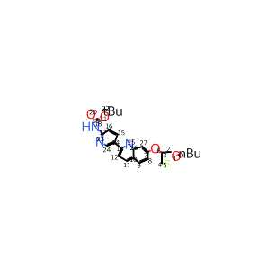 CCCCOCC(CF)Oc1ccc2ccc(-c3ccc(NC(=O)OC(C)(C)C)nc3)nc2c1